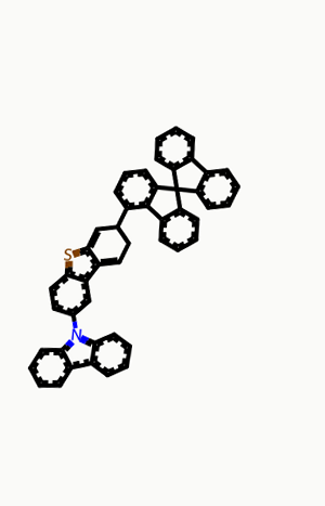 C1=c2sc3ccc(-n4c5ccccc5c5ccccc54)cc3c2=CCC1c1cccc2c1-c1ccccc1C21c2ccccc2-c2ccccc21